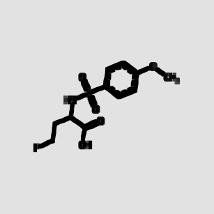 COc1ccc(S(=O)(=O)NC(CCF)C(=O)O)cc1